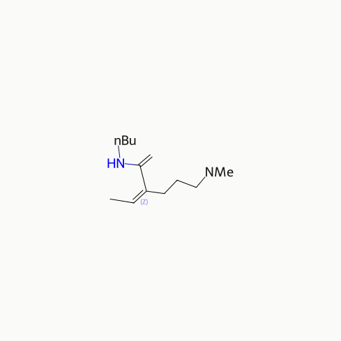 C=C(NCCCC)/C(=C\C)CCCNC